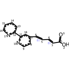 O=C(O)/C=C/C=C/c1ccnc(-c2ccccn2)c1